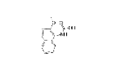 COc1ccc2ccccc2c1NC(=O)O